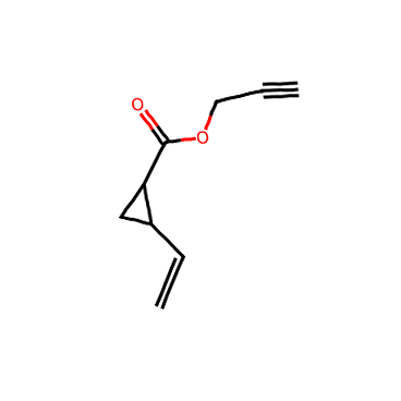 C#CCOC(=O)C1CC1C=C